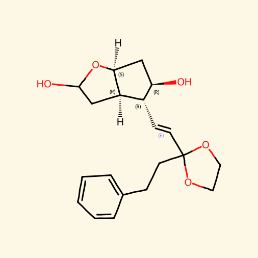 OC1C[C@@H]2[C@@H](/C=C/C3(CCc4ccccc4)OCCO3)[C@H](O)C[C@@H]2O1